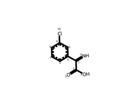 N=C(C(=O)O)c1cccc(Cl)c1